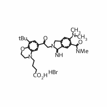 Br.CNC(=O)c1cc2c(cc1N(C)C)CN(CC(=O)c1cc3c(c(C(C)(C)C)c1)OCCN3CCCC(=O)O)C2=N